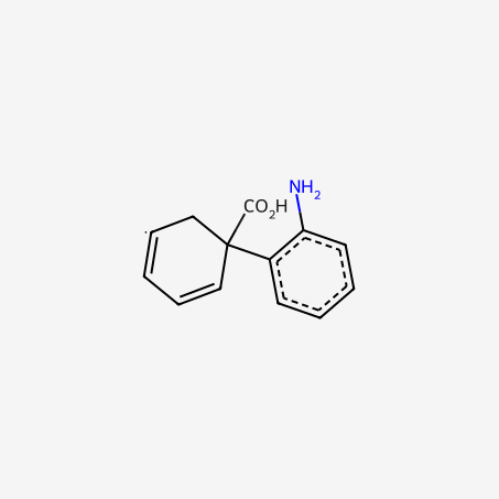 Nc1ccccc1C1(C(=O)O)C=CC=[C]C1